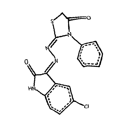 O=C1Nc2ccc(Cl)cc2C1=NN=C1SCC(=O)N1c1ccccc1